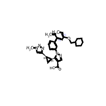 C=C/C(=C\C(=C/C)OCC1CCCCC1)c1cccc(-n2ncc(C(=O)O)c2[C@@H]2C[C@H]2c2cn(C)nn2)c1